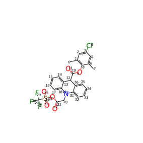 Cc1cc(Cl)cc(C)c1OC(=O)C1c2ccccc2N(CC(=O)OS(=O)(=O)C(F)(F)F)c2ccccc21